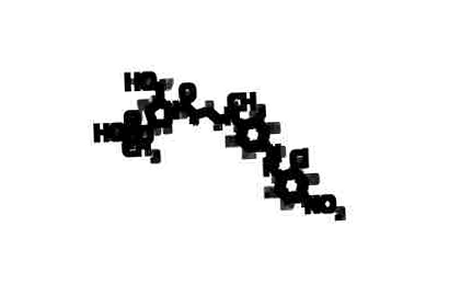 CN(CCCC(=O)N1CC(OP(C)(=O)O)CC1CO)c1ccc(/N=N/c2ccc([N+](=O)[O-])cc2Cl)cc1